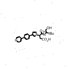 CC(C)(C)C(CO)NC(=O)C(CC(=O)O)n1ccc(-c2ccc(-c3ccncc3)cc2)c1